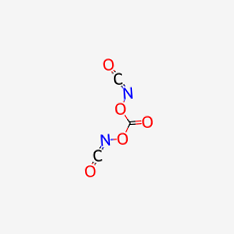 O=C=NOC(=O)ON=C=O